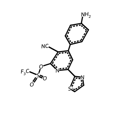 N#Cc1c(-c2ccc(N)cc2)cc(-c2nccs2)nc1OS(=O)(=O)C(F)(F)F